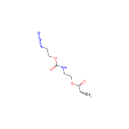 C=CC(=O)OCCNC(=O)OCCN=[N+]=[N-]